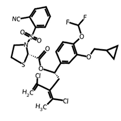 C=C(Cl)/C(C[C@H](OC(=O)[C@@H]1SCCN1S(=O)(=O)c1ccccc1C#N)c1ccc(OC(F)F)c(OCC2CC2)c1)=C(\C)Cl